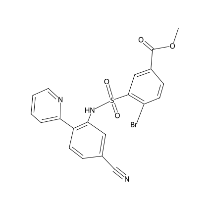 COC(=O)c1ccc(Br)c(S(=O)(=O)Nc2cc(C#N)ccc2-c2ccccn2)c1